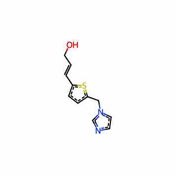 OCC=Cc1ccc(Cn2ccnc2)s1